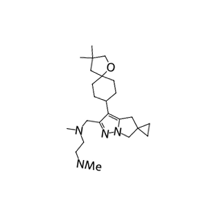 CNCCN(C)Cc1nn2c(c1C1CCC3(CC1)CC(C)(C)CO3)CC1(CC1)C2